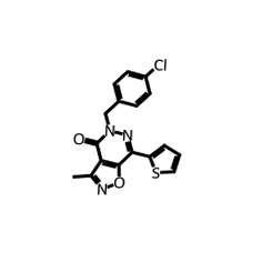 Cc1noc2c(-c3cccs3)nn(Cc3ccc(Cl)cc3)c(=O)c12